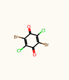 O=C1C(Cl)=C(Br)C(=O)C(Cl)=C1Br